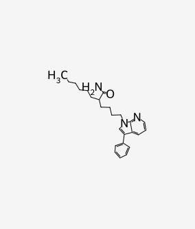 CCCCCCC(CCCCn1cc(-c2ccccc2)c2cccnc21)C(N)=O